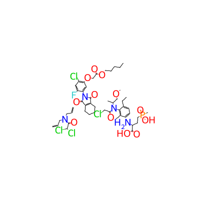 C=CCN(CC=C)C(=O)C(Cl)Cl.CCCCCOC(=O)COc1cc(N2C(=O)C3=C(CCCC3)C2=O)c(F)cc1Cl.CCc1cccc(C)c1N(C(=O)CCl)C(C)COC.CP(=O)(O)CCC(N)C(=O)O